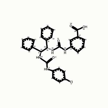 O=C(Nc1ccc(Cl)cc1)N[C@@H](c1ccccc1)[C@@H](NC(=O)Nc1cccc(C(=O)O)c1)c1ccccc1